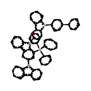 c1ccc(-c2ccc(-n3c4ccccc4c4cc(-n5c6ccccc6c6cc(-n7c8ccccc8c8ccccc87)cc([Si](c7ccccc7)(c7ccccc7)c7ccccc7)c65)ccc43)cc2)cc1